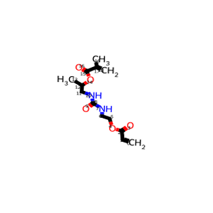 C=CC(=O)OCCNC(=O)NCC(C)OC(=O)C(=C)C